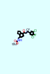 CC(C)(C)OC(=O)NCc1ccc(C(=O)/C=C(/c2cc(Cl)c(F)c(Cl)c2)C(F)(F)F)c2c1CCC2